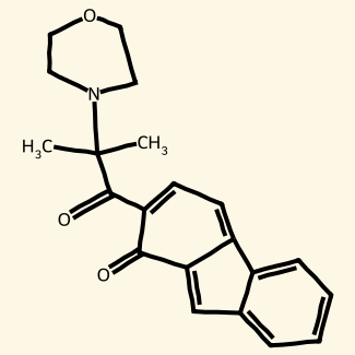 CC(C)(C(=O)C1=CC=C2C(=Cc3ccccc32)C1=O)N1CCOCC1